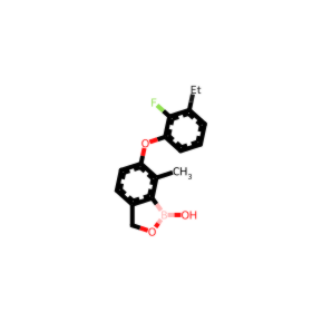 CCc1cccc(Oc2ccc3c(c2C)B(O)OC3)c1F